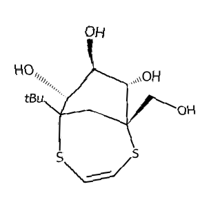 CC(C)(C)C12C[C@@](CO)(SC=CS1)[C@@H](O)[C@H](O)[C@H]2O